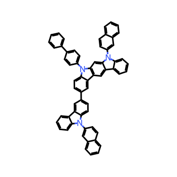 c1ccc(-c2ccc(-n3c4ccc(-c5ccc6c(c5)c5ccccc5n6-c5ccc6ccccc6c5)cc4c4cc5c6ccccc6n(-c6ccc7ccccc7c6)c5cc43)cc2)cc1